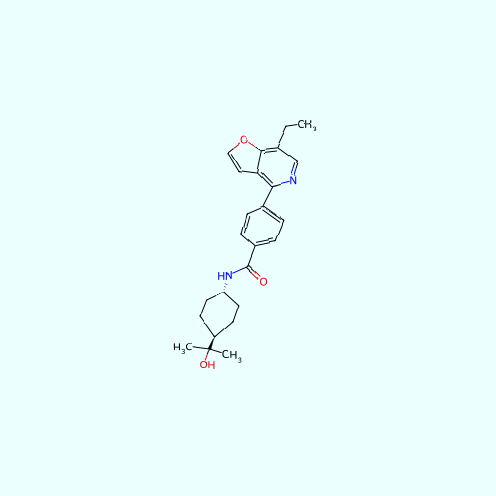 CCc1cnc(-c2ccc(C(=O)N[C@H]3CC[C@H](C(C)(C)O)CC3)cc2)c2ccoc12